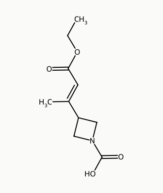 CCOC(=O)/C=C(\C)C1CN(C(=O)O)C1